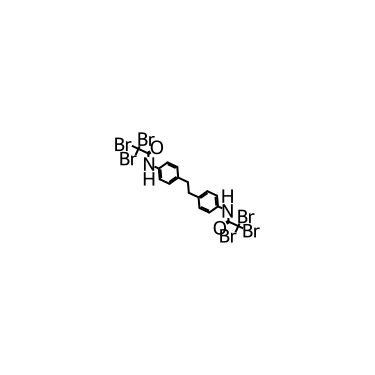 O=C(Nc1ccc(CCc2ccc(NC(=O)C(Br)(Br)Br)cc2)cc1)C(Br)(Br)Br